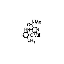 CNC(=O)c1cnc(Cl)cc1Nc1cccc(C)c1OC